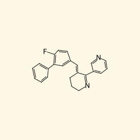 Fc1ccc(C=C2CCCN=C2c2cccnc2)cc1-c1ccccc1